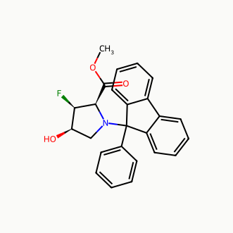 COC(=O)[C@@H]1[C@H](F)[C@H](O)CN1C1(c2ccccc2)c2ccccc2-c2ccccc21